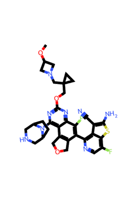 COC1CN(CC2(COc3nc(N4C5CCC4CNC5)c4c5c(c(-c6ncc(F)c7sc(N)c(C#N)c67)c(F)c4n3)COC5)CC2)C1